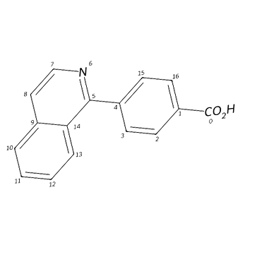 O=C(O)c1ccc(-c2nccc3ccccc23)cc1